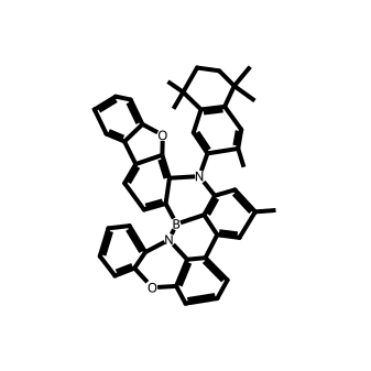 Cc1cc2c3c(c1)N(c1cc4c(cc1C)C(C)(C)CCC4(C)C)c1c(ccc4c1oc1ccccc14)B3N1c3ccccc3Oc3cccc-2c31